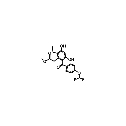 CCc1c(O)cc(O)c(C(=O)c2ccc(OC(F)F)cc2)c1CC(=O)OC